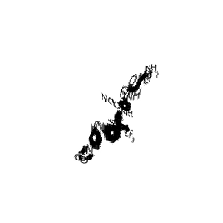 COC(=O)C(CCC(N)=O)NC(=O)c1ccc(NCC#Cc2sc3c(NC4CCC(N5CCS(=O)(=O)CC5)CC4)cccc3c2CC(F)(F)F)c(OCC#N)c1